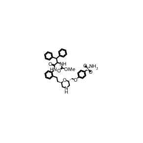 COC(=O)NC(C(=O)Nc1ccccc1CC[C@@H]1CNC[C@@H](COc2ccc(S(N)(=O)=O)cc2)O1)C(c1ccccc1)c1ccccc1